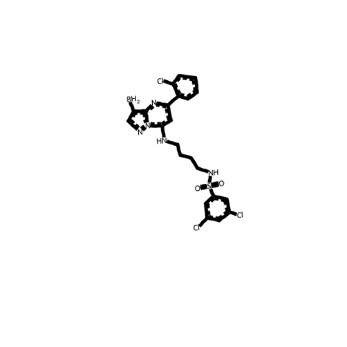 Bc1cnn2c(NCCCCNS(=O)(=O)c3cc(Cl)cc(Cl)c3)cc(-c3ccccc3Cl)nc12